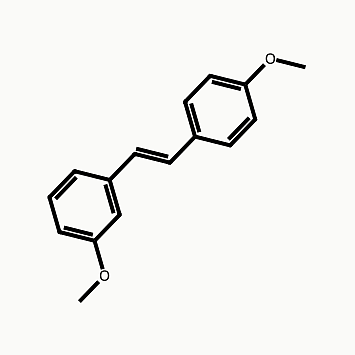 COc1ccc(C=Cc2cccc(OC)c2)cc1